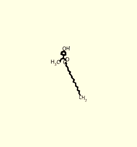 CCCCCCCCCCCCCCCCCCOC(=O)C(CCC)c1ccc(O)cc1